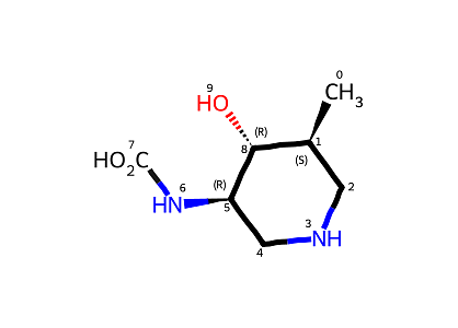 C[C@H]1CNC[C@@H](NC(=O)O)[C@@H]1O